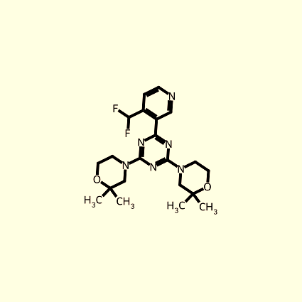 CC1(C)CN(c2nc(-c3cnccc3C(F)F)nc(N3CCOC(C)(C)C3)n2)CCO1